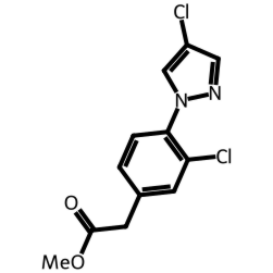 COC(=O)Cc1ccc(-n2cc(Cl)cn2)c(Cl)c1